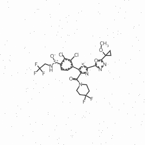 COC1(c2nnc(-c3nc(C(=O)N4CCC(F)(F)CC4)c(-c4ccc([S+]([O-])NCC(F)(F)F)c(Cl)c4Cl)s3)o2)CC1